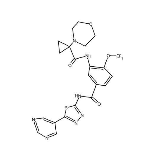 O=C(Nc1nnc(-c2cncnc2)s1)c1ccc(OC(F)(F)F)c(NC(=O)C2(N3CCOCC3)CC2)c1